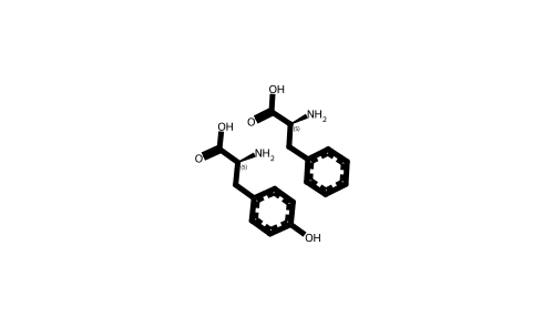 N[C@@H](Cc1ccc(O)cc1)C(=O)O.N[C@@H](Cc1ccccc1)C(=O)O